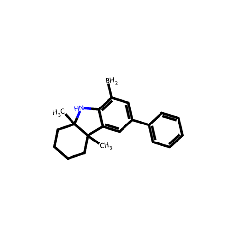 Bc1cc(-c2ccccc2)cc2c1NC1(C)CCCCC21C